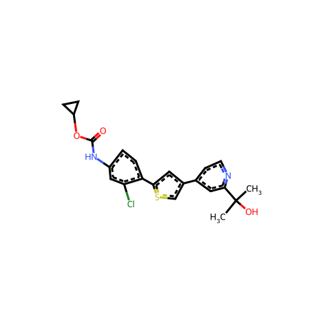 CC(C)(O)c1cc(-c2csc(-c3ccc(NC(=O)OC4CC4)cc3Cl)c2)ccn1